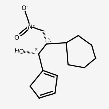 O=[N+]([O-])C[C@H](C1CCCCC1)[C@@H](O)C1=CC=CC1